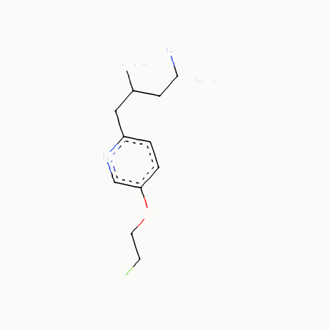 N[C@@H](CC(Cc1ccc(OCCF)cn1)C(=O)O)C(=O)O